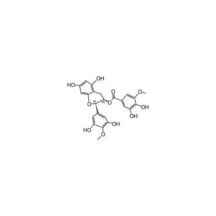 COc1cc(C(=O)O[C@@H]2Cc3c(O)cc(O)cc3O[C@@H]2c2cc(O)c(OC)c(O)c2)cc(O)c1O